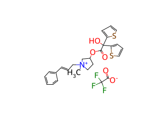 C[N+]1(CC=Cc2ccccc2)CCC(OC(=O)C(O)(c2cccs2)c2cccs2)C1.O=C([O-])C(F)(F)F